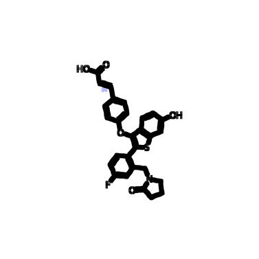 O=C(O)/C=C/c1ccc(Oc2c(-c3ccc(F)cc3CN3CCCC3=O)sc3cc(O)ccc23)cc1